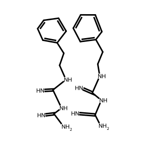 N=C(N)NC(=N)NCCc1ccccc1.N=C(N)NC(=N)NCCc1ccccc1